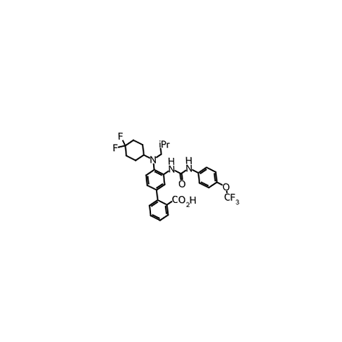 CC(C)CN(c1ccc(-c2ccccc2C(=O)O)cc1NC(=O)Nc1ccc(OC(F)(F)F)cc1)C1CCC(F)(F)CC1